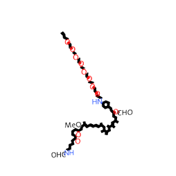 C=CCCOCCOCCOCCOCCOCCOCCOCCOCCNC1CCC(CCC(CCC(C)/C=C(\C)C(C)CC(=C)C(C)CC(C)/C=C/C=C/C=C(\C)C(CC2CCCC(C(=O)CCCCCNC=O)O2)OC)OC=O)CC1